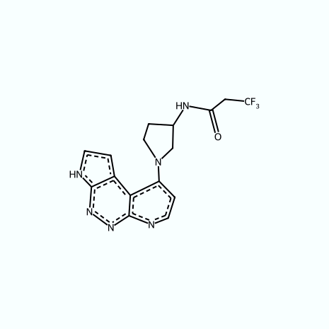 O=C(CC(F)(F)F)NC1CCN(c2ccnc3nnc4[nH]ccc4c23)C1